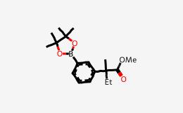 CCC(C)(C(=O)OC)c1cccc(B2OC(C)(C)C(C)(C)O2)c1